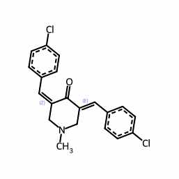 CN1C/C(=C/c2ccc(Cl)cc2)C(=O)/C(=C/c2ccc(Cl)cc2)C1